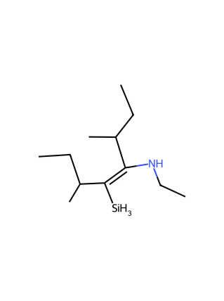 CCNC(=C([SiH3])C(C)CC)C(C)CC